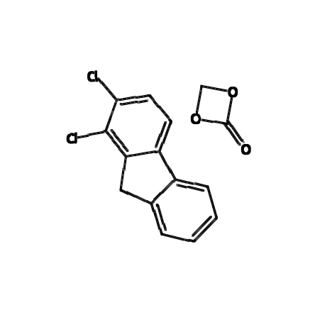 Clc1ccc2c(c1Cl)Cc1ccccc1-2.O=C1OCO1